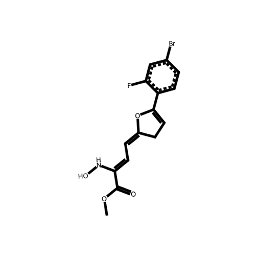 COC(=O)/C(=C/C=C1\CC=C(c2ccc(Br)cc2F)O1)NO